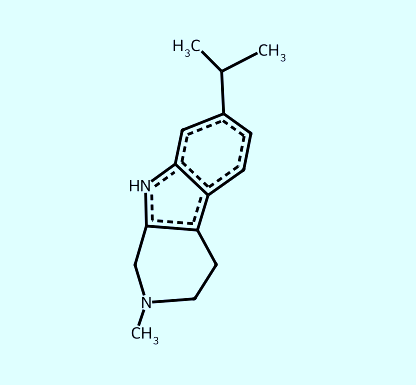 CC(C)c1ccc2c3c([nH]c2c1)CN(C)CC3